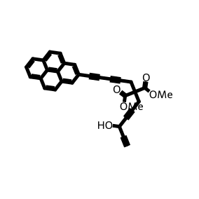 C#CC(O)C#CCC(CC#CC#Cc1cc2ccc3cccc4ccc(c1)c2c34)(C(=O)OC)C(=O)OC